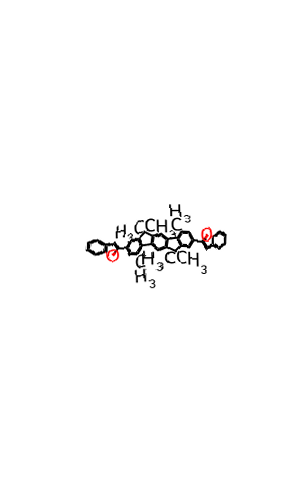 Cc1cc(-c2cc3ccccc3o2)cc2c1-c1cc3c(cc1C2(C)C)-c1c(C)cc(-c2cc4ccccc4o2)cc1C3(C)C